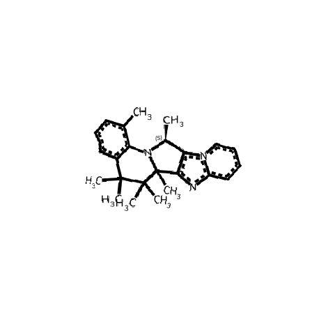 Cc1cccc2c1N1[C@@H](C)c3c(nc4ccccn34)C1(C)C(C)(C)C2(C)C